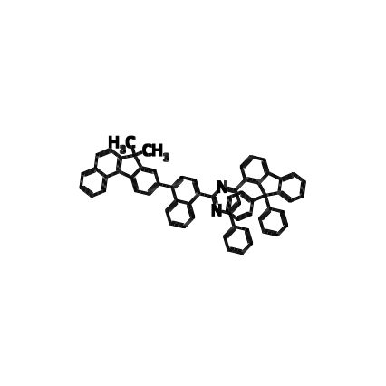 CC1(C)c2cc(-c3ccc(-c4nc(-c5ccccc5)cc(-c5cccc6c5C(c5ccccc5)(c5ccccc5)c5ccccc5-6)n4)c4ccccc34)ccc2-c2c1ccc1ccccc21